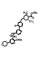 COc1ncc(N2CCOCC2)cc1S(=O)(=O)Nc1ccnc(-c2ccc(CN3C[C@@H](C)N(C(=O)OC(C)(C)C)[C@H](C)C3)cc2F)c1